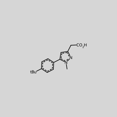 Cn1nc(CC(=O)O)cc1-c1ccc(C(C)(C)C)cc1